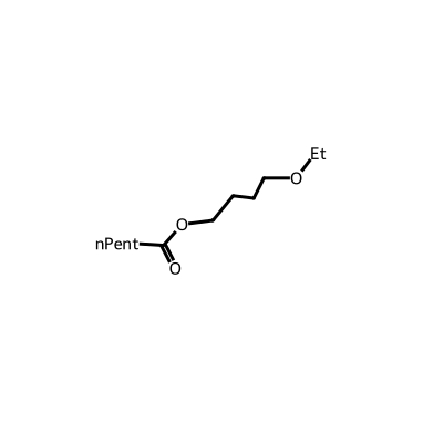 CCCCCC(=O)OCCCCOCC